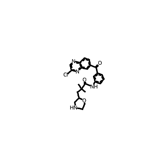 CC(C)(CC1CNCCO1)C(=O)Nc1cccc(C(=O)c2ccc3ncc(Cl)nc3c2)c1